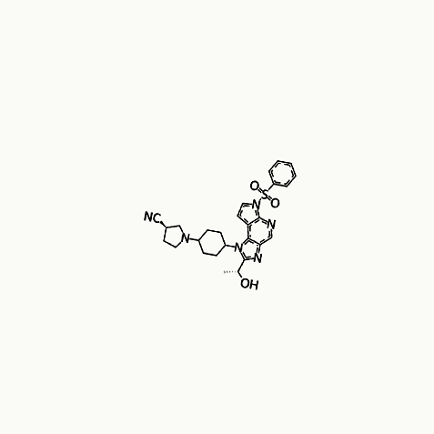 C[C@@H](O)c1nc2cnc3c(ccn3S(=O)(=O)c3ccccc3)c2n1C1CCC(N2CC[C@@H](C#N)C2)CC1